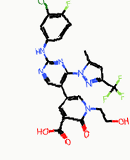 Cc1cc(C(F)(F)F)nn1-c1nc(Nc2ccc(F)c(Cl)c2)ncc1-c1cc(C(=O)O)c(=O)n(CCO)c1